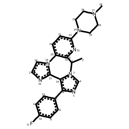 CC(C)n1cnc(-c2ccc(F)cc2)c1-c1nccn1-c1ccc(N2CCN(C)CC2)nc1